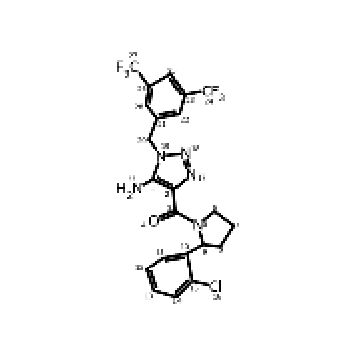 Nc1c(C(=O)N2CCCC2c2ccccc2Cl)nnn1Cc1cc(C(F)(F)F)cc(C(F)(F)F)c1